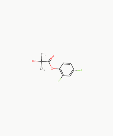 O=C(Oc1ccc(F)cc1F)C(O)(C(F)(F)F)C(F)(F)F